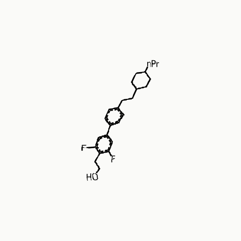 CCCC1CCC(CCc2ccc(-c3cc(F)c(CCO)c(F)c3)cc2)CC1